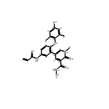 C=CC(=O)Nc1ccc(Oc2c(C)cc(F)cc2C)c(-c2cc(C(=O)NCC)c(=O)n(C)c2)c1